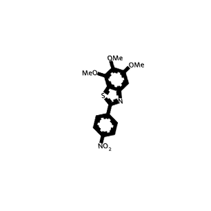 COc1cc2nc(-c3ccc([N+](=O)[O-])cc3)sc2c(OC)c1OC